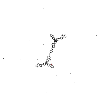 CC1(C)c2ccccc2-c2ccc(-c3ccc(N(c4ccc5c(c4)C(C)(C)c4ccccc4-5)c4ccc5c(c4)C(C)(C)c4cc(/C=C/c6ccc(/C=C/c7ccc8c(c7)C(C)(C)c7cc(N(c9ccc(-c%10ccc%11c(c%10)C(C)(C)c%10ccccc%10-%11)cc9)c9ccc%10c(c9)C(C)(C)c9ccccc9-%10)ccc7-8)cc6)ccc4-5)cc3)cc21